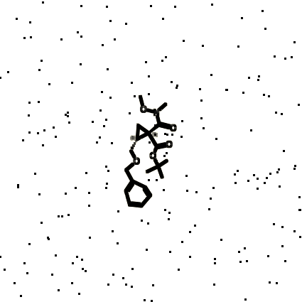 CON(C)C(=O)[C@]1(C(=O)OC(C)(C)C)C[C@H]1COCc1ccccc1